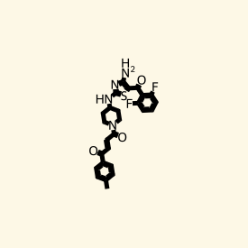 Cc1ccc(C(=O)/C=C/C(=O)N2CCC(Nc3nc(N)c(C(=O)c4c(F)cccc4F)s3)CC2)cc1